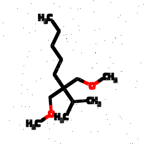 CCCCCC(COC)(COC)C(C)C